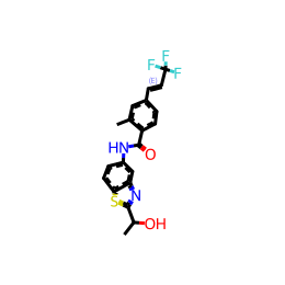 Cc1cc(/C=C/C(F)(F)F)ccc1C(=O)Nc1ccc2sc(C(C)O)nc2c1